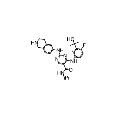 CC(C)NC(=O)c1cnc(Nc2ccc3c(c2)CCNC3)nc1Nc1ccc(F)c(C(C)(C)O)n1